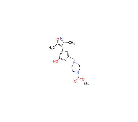 Cc1noc(C)c1-c1cc(O)cc(CN2CCN(C(=O)OC(C)(C)C)CC2)c1